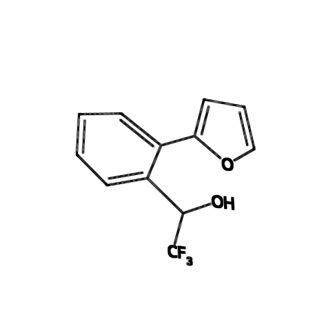 OC(c1ccccc1-c1ccco1)C(F)(F)F